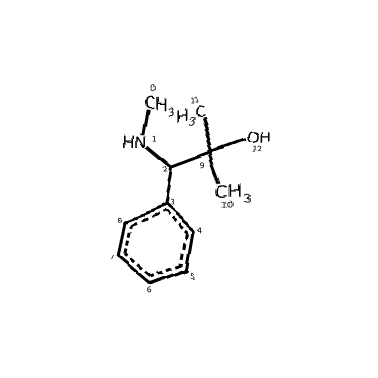 CNC(c1ccccc1)C(C)(C)O